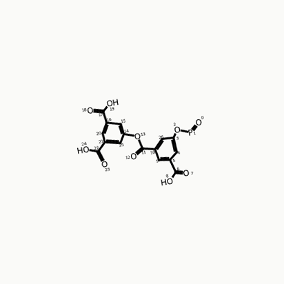 O=POc1cc(C(=O)O)cc(C(=O)Oc2cc(C(=O)O)cc(C(=O)O)c2)c1